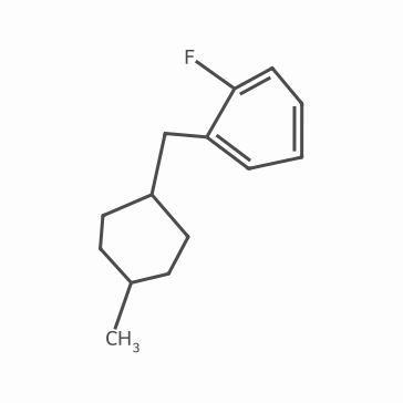 CC1CCC(Cc2ccccc2F)CC1